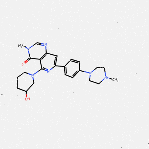 CN1CCN(c2ccc(-c3cc4ncn(C)c(=O)c4c(N4CCCC(O)C4)n3)cc2)CC1